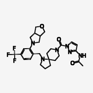 CC(=O)Nc1ccn(C(=O)N2CCC3(CCCN3Cc3ccc(C(F)(F)F)cc3N3CC4COCC4C3)CC2)n1